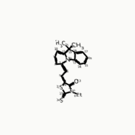 CCN1C(=O)C(=CC=C2C=CC=C3N2c2ccccc2C3(C)C)SC1=S